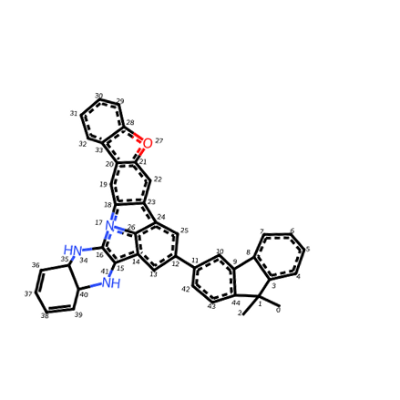 CC1(C)c2ccccc2-c2cc(-c3cc4c5c(n6c7cc8c(cc7c(c3)c46)oc3ccccc38)NC3C=CC=CC3N5)ccc21